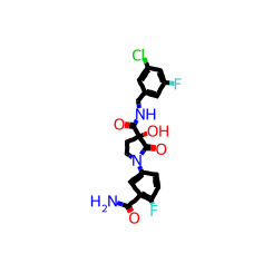 NC(=O)c1cc(N2CCC(O)(C(=O)NCc3cc(F)cc(Cl)c3)C2=O)ccc1F